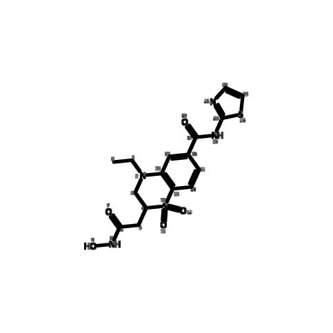 CCN1CC(CC(=O)NO)S(=O)(=O)c2ccc(C(=O)Nc3nccs3)cc21